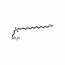 C[N+](C)(CCCCCCCCCCCCCCO)CCCS(=O)(=O)O